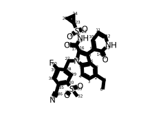 CCc1ccc2c(c1)c(-c1ccc[nH]c1=O)c(C(=O)NS(=O)(=O)C1CC1)n2Cc1cc(S(C)(=O)=O)c(C#N)cc1F